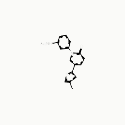 CC(=O)Nc1cccc(-n2cc(-c3cc(C)cs3)ccc2=O)c1